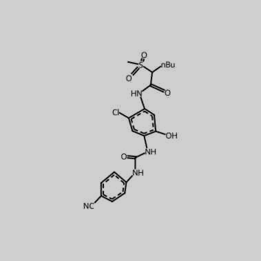 CCCCC(C(=O)Nc1cc(O)c(NC(=O)Nc2ccc(C#N)cc2)cc1Cl)S(C)(=O)=O